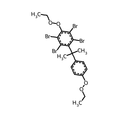 CCOOc1ccc(C(C)(C)c2c(Br)c(Br)c(OOCC)c(Br)c2Br)cc1